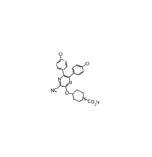 N#Cc1nc(-c2ccc(Cl)cc2)c(-c2ccc(Cl)cc2)nc1OC1CCN(C(=O)O)CC1